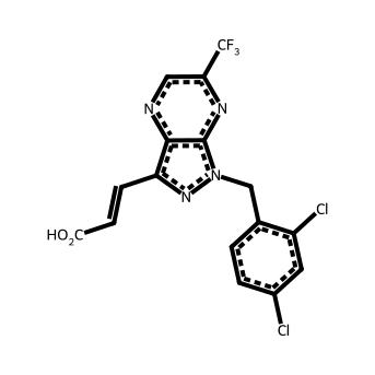 O=C(O)C=Cc1nn(Cc2ccc(Cl)cc2Cl)c2nc(C(F)(F)F)cnc12